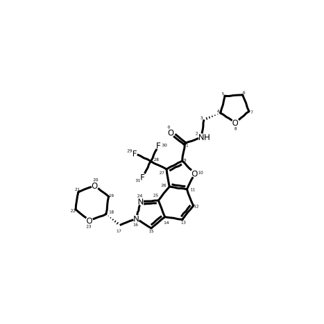 O=C(NC[C@@H]1CCCO1)c1oc2ccc3cn(C[C@H]4COCCO4)nc3c2c1C(F)(F)F